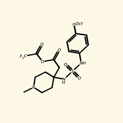 CCCCCCCCc1ccc(NS(=O)(=O)NC2(CC(=O)OC(=O)C(F)(F)F)CCN(C)CC2)cc1